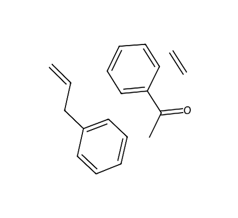 C=C.C=CCc1ccccc1.CC(=O)c1ccccc1